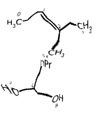 CC=C(C)C.CCCC(O)O